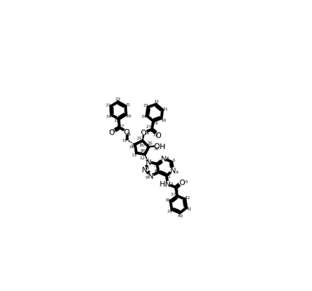 O=C(Nc1ncnc2c1nnn2[C@@H]1C[C@H](COC(=O)c2ccccc2)[C@@H](OC(=O)c2ccccc2)[C@H]1O)c1ccccc1